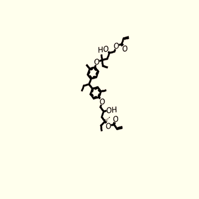 C=CC(=O)OCC(O)CC(C)(CC)Oc1ccc(C(CC)c2ccc(OCC(O)C[C@](C)(CC)OC(=O)C=C)c(C)c2)cc1C